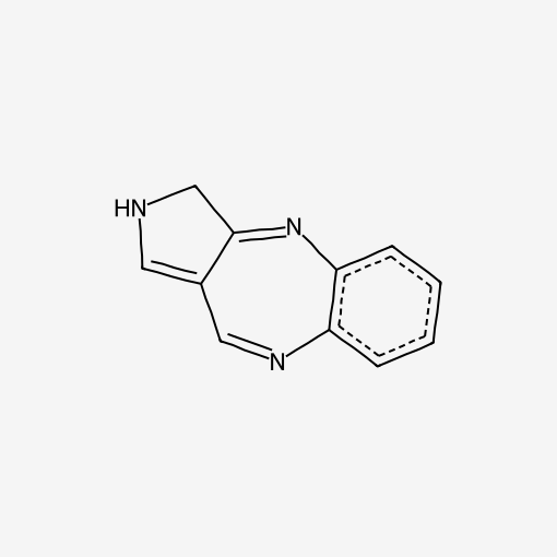 C1=Nc2ccccc2N=C2CNC=C12